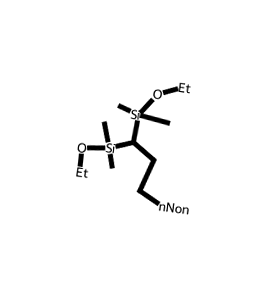 CCCCCCCCCCCC([Si](C)(C)OCC)[Si](C)(C)OCC